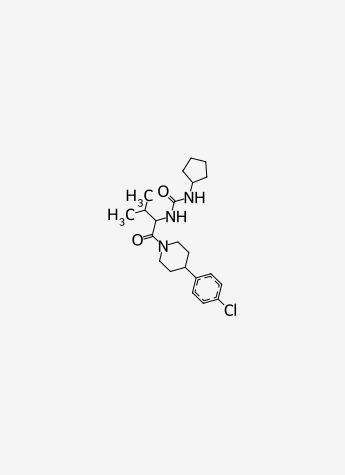 CC(C)C(NC(=O)NC1CCCC1)C(=O)N1CCC(c2ccc(Cl)cc2)CC1